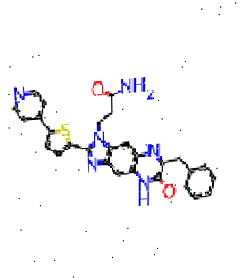 NC(=O)CCn1c(-c2ccc(-c3ccncc3)s2)nc2cc3[nH]c(=O)c(Cc4ccccc4)nc3cc21